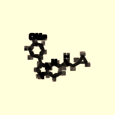 COc1ccc(-c2cnc3ccc(NCC4CC4)nn23)cc1